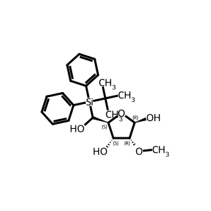 CO[C@@H]1[C@H](O)[C@@H](C(O)[Si](c2ccccc2)(c2ccccc2)C(C)(C)C)O[C@H]1O